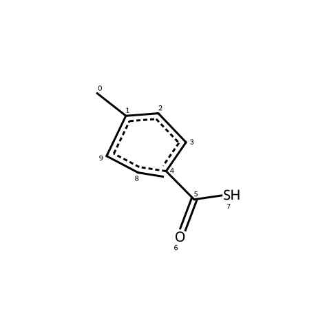 Cc1ccc(C(=O)S)cc1